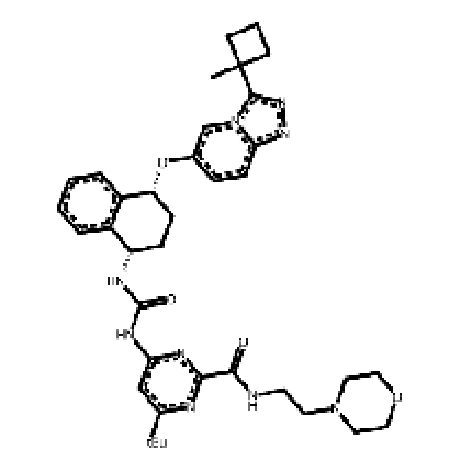 CC(C)(C)c1cc(NC(=O)N[C@H]2CC[C@@H](Oc3ccc4nnc(C5(C)CCC5)n4c3)c3ccccc32)nc(C(=O)NCCN2CCOCC2)n1